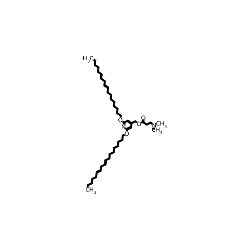 CCCCCC=CCC=CCCCCCCCCOc1cc(COC(=O)CCN(C)C)cc(OCCCCCCCCC=CCC=CCCCCC)n1